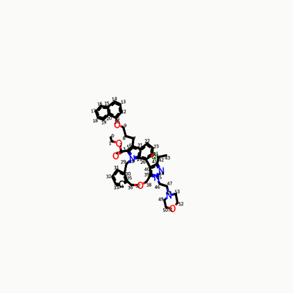 CCOC(=O)c1c(CCCOc2cccc3ccccc23)c2ccc(Cl)c3c2n1Cc1ccccc1COCc1c-3c(CC)nn1CCN1CCOCC1